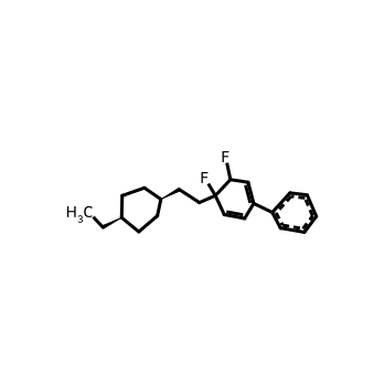 CC[C@H]1CC[C@@H](CCC2(F)C=CC(c3ccccc3)=CC2F)CC1